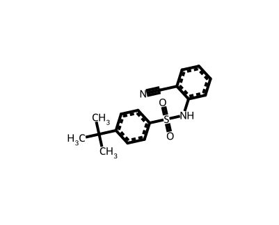 CC(C)(C)c1ccc(S(=O)(=O)Nc2ccccc2C#N)cc1